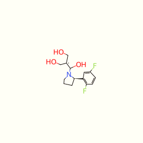 OC[C](CO)C(O)N1CCC[C@@H]1c1cc(F)ccc1F